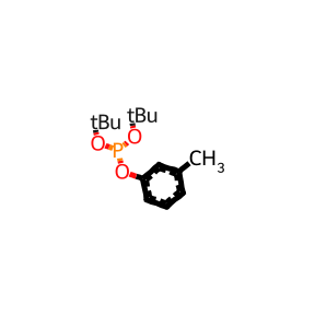 Cc1cccc(OP(OC(C)(C)C)OC(C)(C)C)c1